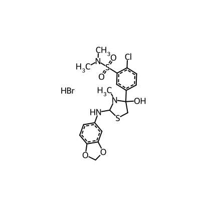 Br.CN1C(Nc2ccc3c(c2)OCO3)SCC1(O)c1ccc(Cl)c(S(=O)(=O)N(C)C)c1